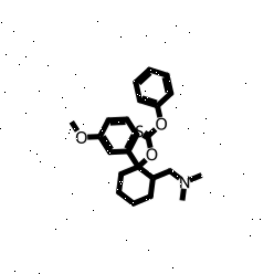 COc1cccc(C2(OC(=S)Oc3ccccc3)CCCCC2CN(C)C)c1